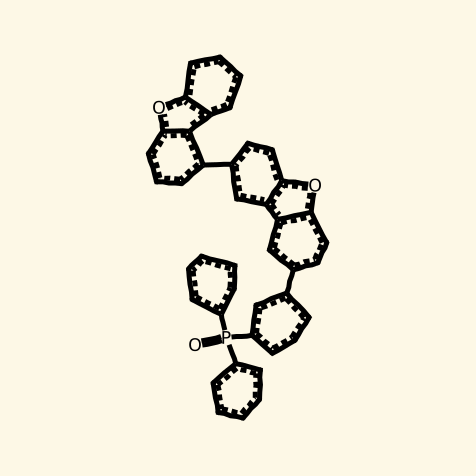 O=P(c1ccccc1)(c1ccccc1)c1cccc(-c2ccc3oc4ccc(-c5cccc6oc7ccccc7c56)cc4c3c2)c1